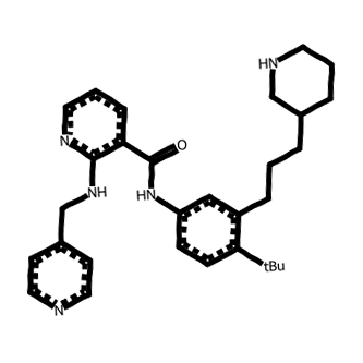 CC(C)(C)c1ccc(NC(=O)c2cccnc2NCc2ccncc2)cc1CCCC1CCCNC1